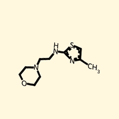 Cc1csc(NCCN2CCOCC2)n1